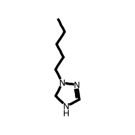 CCCCCN1CNC=N1